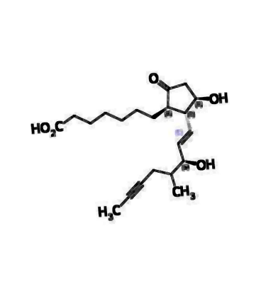 CC#CCC(C)[C@H](O)/C=C/[C@H]1[C@H](O)CC(=O)[C@@H]1CCCCCCC(=O)O